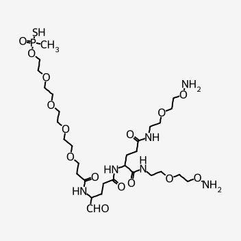 CP(=O)(S)OCCOCCOCCOCCOCCC(=O)NC(C=O)CCC(=O)NC(CCC(=O)NCCOCCON)C(=O)NCCOCCON